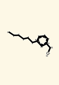 CCCCCCc1cccc(C[O])c1